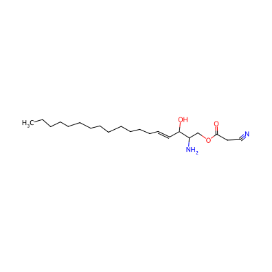 CCCCCCCCCCCCCC=CC(O)C(N)COC(=O)CC#N